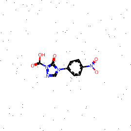 O=C(O)n1ncn(-c2ccc([N+](=O)[O-])cc2)c1=O